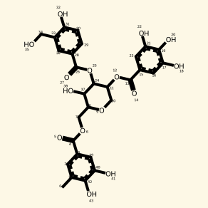 Cc1cc(C(=O)OCC2OCC(OC(=O)c3cc(O)c(O)c(O)c3)C(OC(=O)c3ccc(O)c(CO)c3)C2O)cc(O)c1O